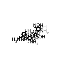 NCC(N)C1CCC(N)C(OC2C(N)CC(N)C(O)C2OC2OC(CO)C(OC3CC(CN)C(O)C(O)C3N)C2O)O1